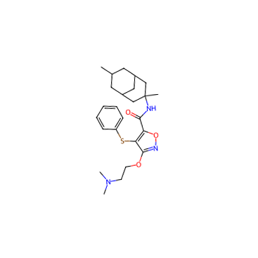 CC1CC2CC(C1)CC(C)(NC(=O)c1onc(OCCN(C)C)c1Sc1ccccc1)C2